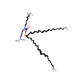 CCC=CCCCN(CCCN(C)C)C(=O)OC(CCCCCCCC=CCC=CCCCCC)CCCCCCCCCC=CCC=CCCCCC